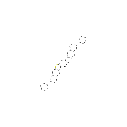 c1ccc(-c2ccc3cc4c(cc3c2)sc2cc3c(cc24)sc2cc4cc(-c5ccccc5)ccc4cc23)cc1